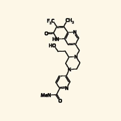 CNC(=O)c1ccc(N2CCN(Cc3cnc4c(C)c(C(F)(F)F)c(=O)[nH]c4c3)C(CCO)C2)cn1